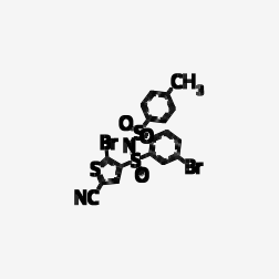 Cc1ccc(S(=O)(=O)N=S(=O)(c2cccc(Br)c2)c2cc(C#N)sc2Br)cc1